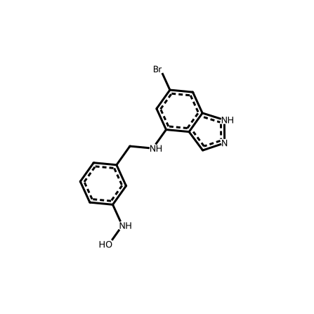 ONc1cccc(CNc2cc(Br)cc3[nH]ncc23)c1